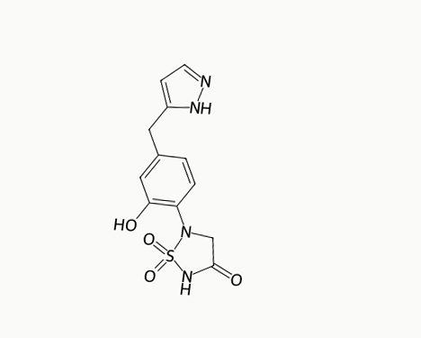 O=C1CN(c2ccc(Cc3ccn[nH]3)cc2O)S(=O)(=O)N1